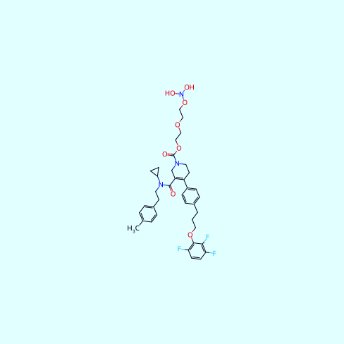 Cc1ccc(CCN(C(=O)C2=C(c3ccc(CCCOc4c(F)ccc(F)c4F)cc3)CCN(C(=O)OCCOCCON(O)O)C2)C2CC2)cc1